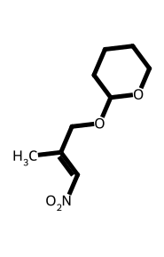 CC(=C[N+](=O)[O-])COC1CCCCO1